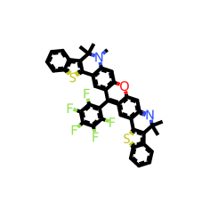 CN1c2cc3c(cc2-c2sc4ccccc4c2C1(C)C)C(c1c(F)c(F)c(F)c(F)c1F)=c1cc2c(cc1O3)=NC(C)(C)c1c-2sc2ccccc12